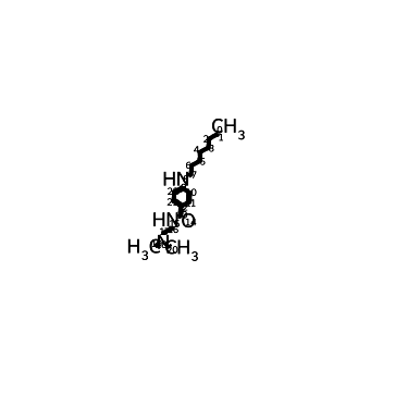 CCCCCCCCNc1ccc(C(=O)NCCN(C)C)cc1